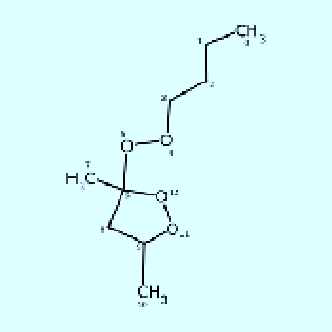 CCCCOOC1(C)CC(C)OO1